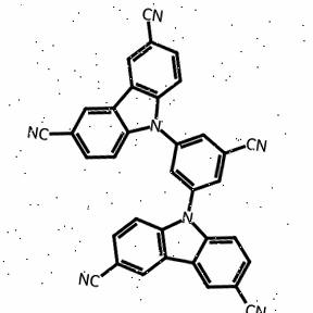 N#Cc1cc(-n2c3ccc(C#N)cc3c3cc(C#N)ccc32)cc(-n2c3ccc(C#N)cc3c3cc(C#N)ccc32)c1